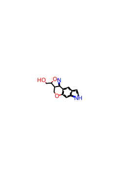 OCC1ON=C2c3cc4cc[nH]c4cc3OCC21